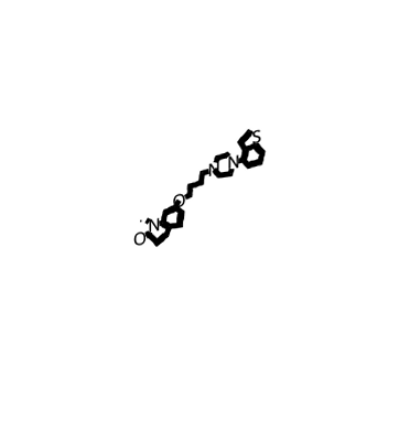 [CH2]n1c(=O)ccc2ccc(OCCCCN3CCN(c4cccc5sccc45)CC3)cc21